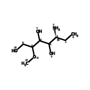 CC[C@@H](N)C(O)C(O)C(CO)OC